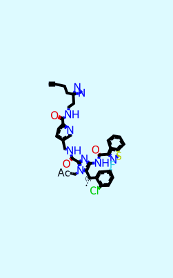 C#CCCC1(CCNC(=O)c2ccc(CNC(=O)c3nc(NC(=O)c4nsc5ccccc45)c([C@@H](C)c4cc(F)ccc4Cl)n3CC(C)=O)cn2)N=N1